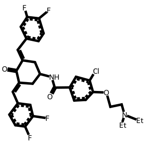 CCN(CC)CCOc1ccc(C(=O)NC2C/C(=C\c3ccc(F)c(F)c3)C(=O)/C(=C/c3ccc(F)c(F)c3)C2)cc1Cl